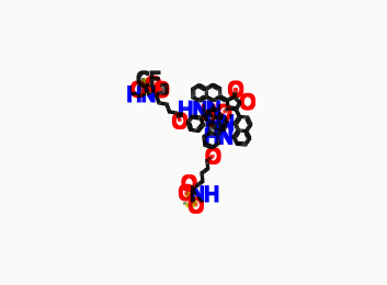 CS(=O)(=O)NC(=O)CCCCOc1ccc2c(c1)C1(Nc3cccc4ccc(C5=C(O)/C(=c6/ccc7cccc8c7c6=NC6(N8)c7ccccc7-c7ccc(OCCCCC(=O)NS(=O)(=O)C(F)(F)F)cc76)C(=O)C5=O)c(c34)N1)c1ccccc1-2